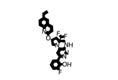 C=Cc1ccc2nc(O[C@H]3CN4c5cc(-c6cccc(F)c6O)nnc5NC[C@@]4(C(F)F)C3)ccc2c1